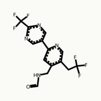 O=CNCc1cc(-c2cnc(C(F)(F)F)nc2)ncc1CC(F)(F)F